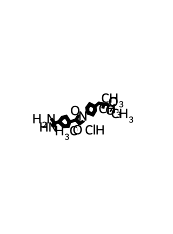 COC(=O)C(C)(C)Cc1ccc(N2CC(OC)=C(c3ccc(C(=N)N)cc3)C2=O)cc1.Cl